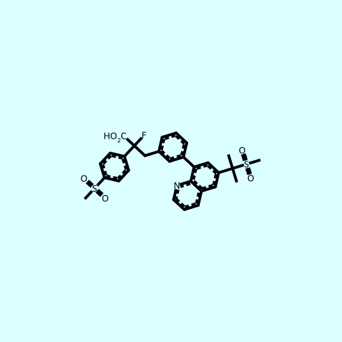 CC(C)(c1cc(-c2cccc(CC(F)(C(=O)O)c3ccc(S(C)(=O)=O)cc3)c2)c2ncccc2c1)S(C)(=O)=O